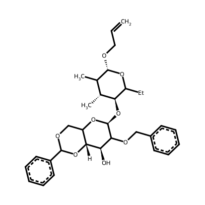 C=CCO[C@@H]1OC(CC)[C@@H](O[C@@H]2OC3COC(c4ccccc4)O[C@H]3[C@H](O)C2OCc2ccccc2)[C@H](C)C1C